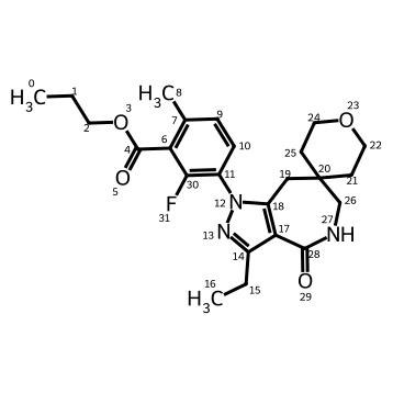 CCCOC(=O)c1c(C)ccc(-n2nc(CC)c3c2CC2(CCOCC2)CNC3=O)c1F